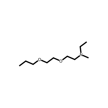 CCCOCCOCCN(C)CC